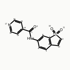 O=C(Nc1ccc2c(c1)S(=O)(=O)C=C2)c1ccncc1